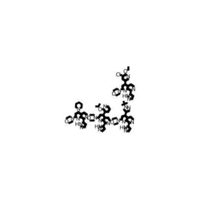 CC(C)(C)n1cc(-c2cc(N3CCOCC3)nc3c(-c4ccn[nH]4)nccc23)cn1.CC(C)Oc1ncccc1-c1cc(N2CCOCC2)nc2c(-c3ccn[nH]3)nccc12.CCOc1ncc(-c2cc(N3CCOCC3)nc3c(-c4ccn[nH]4)nccc23)cc1Cl.c1cc(-c2nccc3c(N4CCCCC4)cc(N4CCOCC4)nc23)[nH]n1